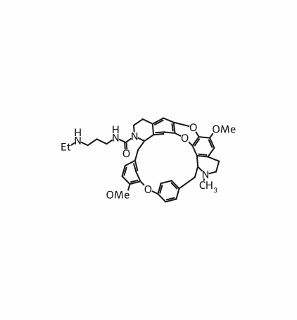 CCNCCCNC(=O)N1CCc2cc3c4cc2C1Cc1ccc(OC)c(c1)Oc1ccc(cc1)CC1c2c(cc(OC)c(c2O4)O3)CCN1C